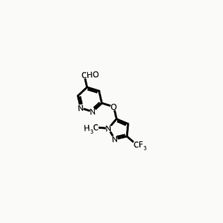 Cn1nc(C(F)(F)F)cc1Oc1cc(C=O)cnn1